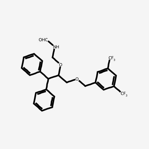 O=CNCOC(COCc1cc(C(F)(F)F)cc(C(F)(F)F)c1)C(c1ccccc1)c1ccccc1